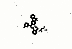 Cc1cccc(C2=CC3c4ccccc4[C@](C)(OC(C)CC(C)O)CN3c3cc4c(cc32)-c2ccccc2C4(C)C)c1